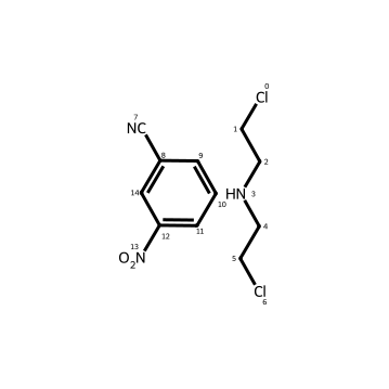 ClCCNCCCl.N#Cc1cccc([N+](=O)[O-])c1